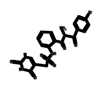 NN(C(=O)c1ccc(Br)cc1)C(=O)c1ccccc1NS(=O)(=O)Cc1c[nH]c(=O)[nH]c1=O